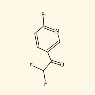 O=C(c1ccc(Br)nc1)C(F)F